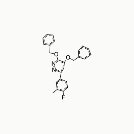 Cc1cc(-c2cc(OCc3ccccc3)c(OCc3ccccc3)nn2)ccc1F